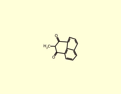 CC1C(=O)c2cccc3cccc(c23)C1=O